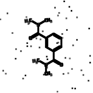 CN(C)C(=O)c1c[c]cc(C(=O)N(C)C)c1